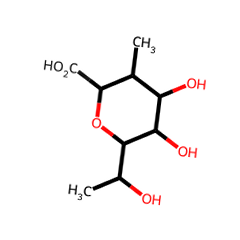 CC(O)C1OC(C(=O)O)C(C)C(O)C1O